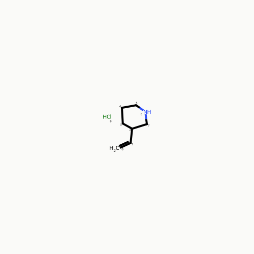 C=CC1CCCNC1.Cl